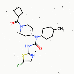 CC1CCC(N(C(=O)Nc2ncc(Cl)s2)C2CCN(C(=O)C3CCC3)CC2)CC1